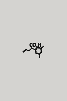 C=CCC(C(=O)O)c1cc(C)cc(C)c1